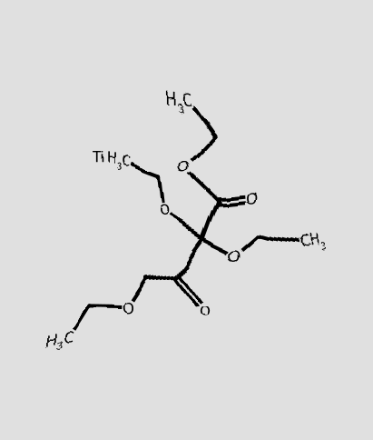 CCOCC(=O)C(OCC)(OCC)C(=O)OCC.[Ti]